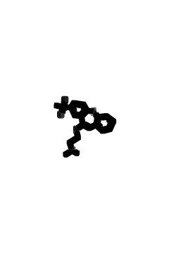 CN(C)CCSC1=Cc2ccccc2Sc2ccc(S(C)(=O)=O)cc21